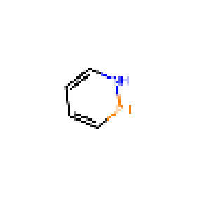 C1=CNPC=C1